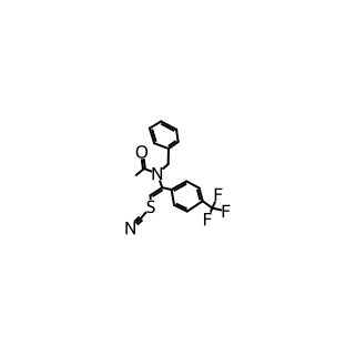 CC(=O)N(Cc1ccccc1)/C(=C/SC#N)c1ccc(C(F)(F)F)cc1